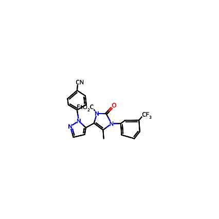 CCOC(=O)n1c(-c2ccnn2-c2ccc(C#N)cc2)c(C)n(-c2cccc(C(F)(F)F)c2)c1=O